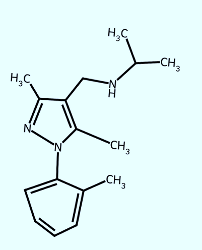 Cc1ccccc1-n1nc(C)c(CNC(C)C)c1C